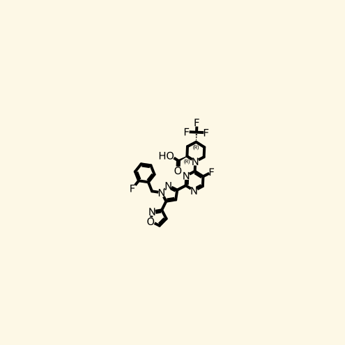 O=C(O)[C@H]1C[C@H](C(F)(F)F)CCN1c1nc(-c2cc(-c3ccon3)n(Cc3ccccc3F)n2)ncc1F